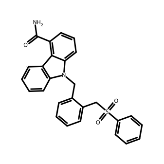 NC(=O)c1cccc2c1c1[c]cccc1n2Cc1ccccc1CS(=O)(=O)c1ccccc1